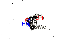 COc1cccc(-c2n[nH]c(C(=O)N3CCC(CC(C)(C)O)CC3)c2C)c1